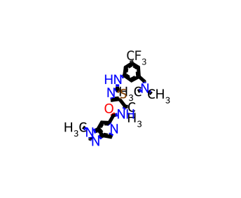 CC(NC(=O)c1cc2c(cn1)ncn2C)c1cnc(Nc2cc(CN(C)C)cc(C(F)(F)F)c2)s1